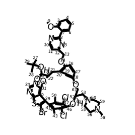 COc1ccccc1-c1nccc(COc2ccc3cc2C[C@H](C(=O)OC(C)(C)C)Oc2ncnc4sc(Br)c(c24)-c2c(C)c(Cl)c(c(Cl)c2C)O[C@H](CN2CCN(C)CC2)CO3)n1